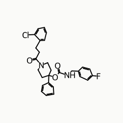 O=C(NCc1ccc(F)cc1)OC1(c2ccccc2)CCN(C(=O)CCc2ccccc2Cl)CC1